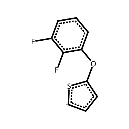 Fc1cccc(Oc2cc[c]s2)c1F